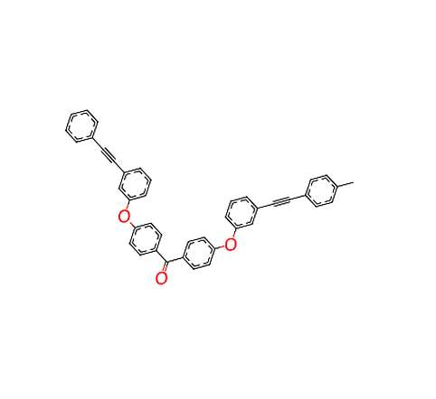 Cc1ccc(C#Cc2cccc(Oc3ccc(C(=O)c4ccc(Oc5cccc(C#Cc6ccccc6)c5)cc4)cc3)c2)cc1